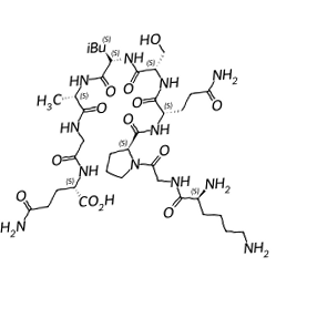 CC[C@H](C)[C@H](NC(=O)[C@H](CO)NC(=O)[C@H](CCC(N)=O)NC(=O)[C@@H]1CCCN1C(=O)CNC(=O)[C@@H](N)CCCCN)C(=O)N[C@@H](C)C(=O)NCC(=O)N[C@@H](CCC(N)=O)C(=O)O